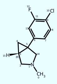 CN1C[C@@H]2CC2(c2ccc(Cl)c(F)c2)C1